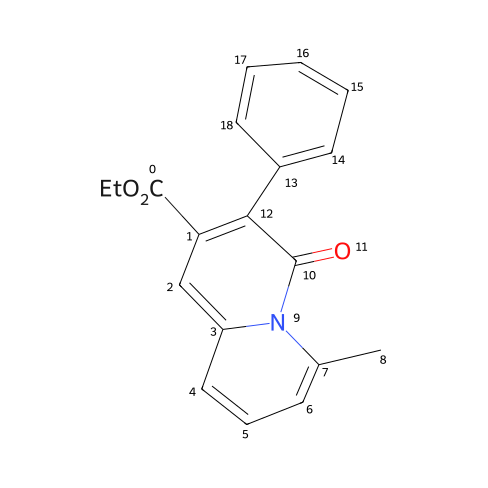 CCOC(=O)c1cc2cccc(C)n2c(=O)c1-c1ccccc1